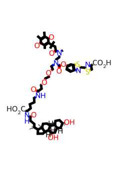 CC1=C(C)C(=O)C(C(C)(C)CC(=O)N(C)CCN(CCOCCOCCC(=O)NCCCCC(NC(=O)CC[C@@H](C)C2CC[C@H]3[C@@H]4[C@H](O)C[C@@H]5C[C@H](O)CC[C@]5(C)[C@H]4CC[C@]23C)C(=O)O)C(=O)Oc2ccc3nc(C4=NC(C(=O)O)CS4)sc3c2)=C(C)C1=O